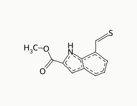 COC(=O)c1cc2cccc(C=S)c2[nH]1